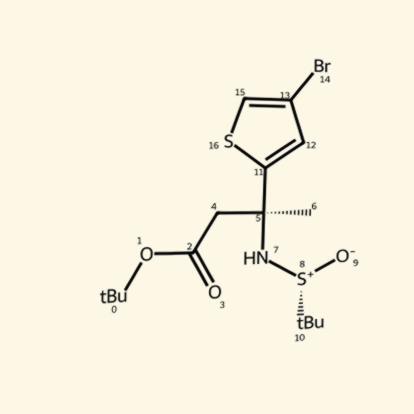 CC(C)(C)OC(=O)C[C@](C)(N[S@+]([O-])C(C)(C)C)c1cc(Br)cs1